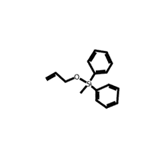 C=CCO[Si](C)(c1ccccc1)c1ccccc1